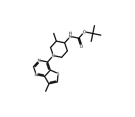 Cc1csc2c(N3CCC(NC(=O)OC(C)(C)C)C(C)C3)ncnc12